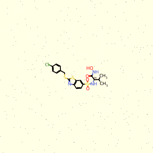 CC(C)[C@@H](NS(=O)(=O)c1ccc2nc(SCc3ccc(Cl)cc3)sc2c1)C(=O)NO